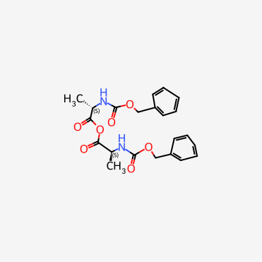 C[C@H](NC(=O)OCc1ccccc1)C(=O)OC(=O)[C@H](C)NC(=O)OCc1ccccc1